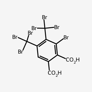 O=C(O)c1cc(C(Br)(Br)Br)c(C(Br)(Br)Br)c(Br)c1C(=O)O